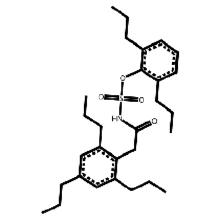 CCCc1cc(CCC)c(CC(=O)NS(=O)(=O)Oc2c(CCC)cccc2CCC)c(CCC)c1